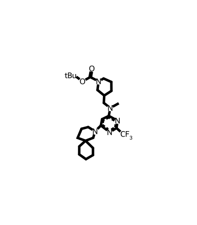 CN(CC1CCCN(C(=O)OC(C)(C)C)C1)c1cc(N2CCCC3(CCCCC3)C2)nc(C(F)(F)F)n1